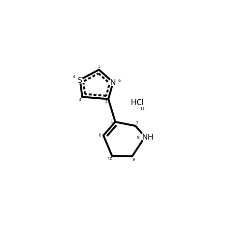 C1=C(c2cscn2)CNCC1.Cl